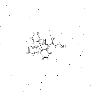 O=C(CCS)NNC(c1ccccc1)(c1ccccc1)c1ccccc1